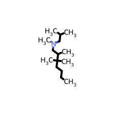 CCCCC(C)(C)C(C)CN(C)CC(C)C